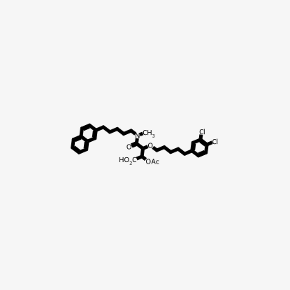 CC(=O)OC(C(=O)O)C(OCCCCCc1ccc(Cl)c(Cl)c1)C(=O)N(C)CCCCCc1ccc2ccccc2c1